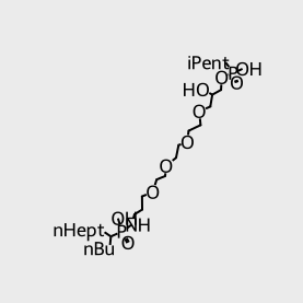 CCCCCCCC(CCCC)P(=O)(O)NCCCOCCOCCOCCOCC(O)COP(=O)(O)C(C)CCC